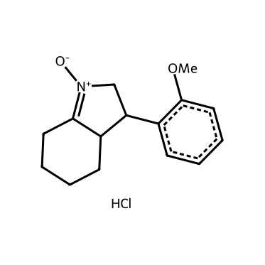 COc1ccccc1C1C[N+]([O-])=C2CCCCC21.Cl